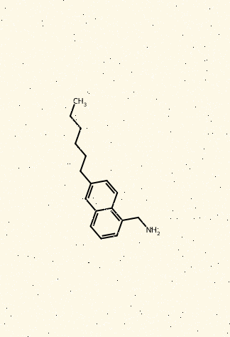 CCCCCCc1ccc2c(CN)cccc2c1